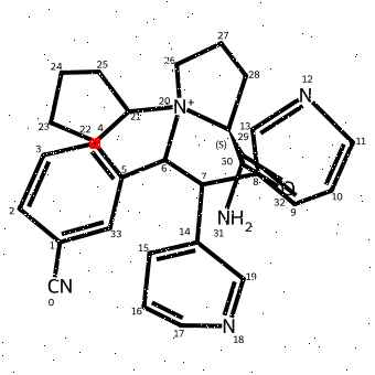 N#Cc1cccc(C(C(c2cccnc2)c2cccnc2)[N+]2(C3CCCC3)CCC[C@H]2C(N)=O)c1